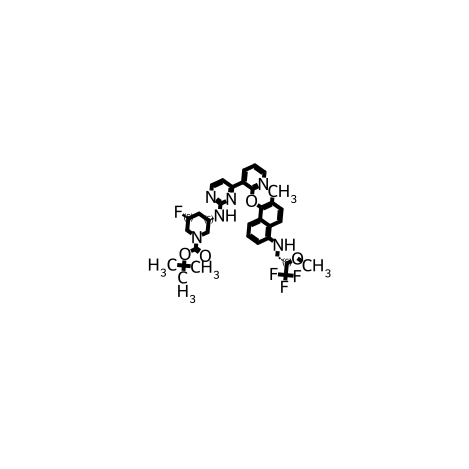 CO[C@@H](CNc1cccc2c(Oc3ncccc3-c3ccnc(N[C@H]4C[C@H](F)CN(C(=O)OC(C)(C)C)C4)n3)c(C)ccc12)C(F)(F)F